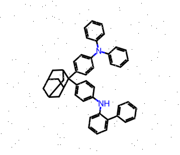 c1ccc(-c2ccccc2Nc2ccc(C3(c4ccc(N(c5ccccc5)c5ccccc5)cc4)C4CC5CC(C4)CC3C5)cc2)cc1